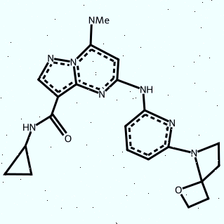 CNc1cc(Nc2cccc(N3CCC34CCO4)n2)nc2c(C(=O)NC3CC3)cnn12